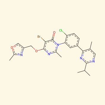 Cc1nc(COc2nc(C)n(-c3cc(-c4nc(C(C)C)ncc4C)ccc3Cl)c(=O)c2Br)co1